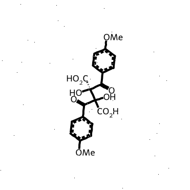 COc1ccc(C(=O)C(O)(C(=O)O)[C@](O)(C(=O)O)C(=O)c2ccc(OC)cc2)cc1